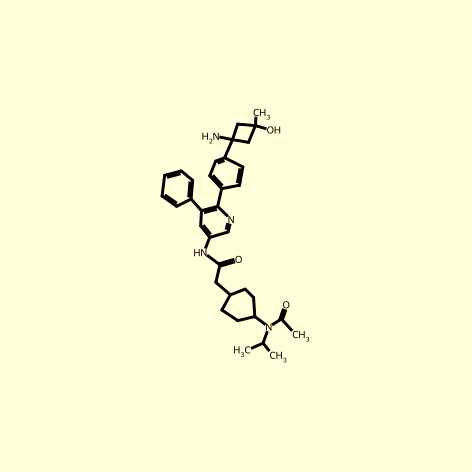 CC(=O)N(C(C)C)C1CCC(CC(=O)Nc2cnc(-c3ccc(C4(N)CC(C)(O)C4)cc3)c(-c3ccccc3)c2)CC1